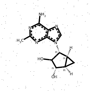 Cc1nc(N)c2ncn([C@H]3C(O)[C@@H](O)[C@@H]4C[C@@H]43)c2n1